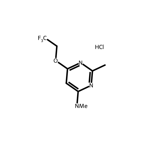 CNc1cc(OCC(F)(F)F)nc(C)n1.Cl